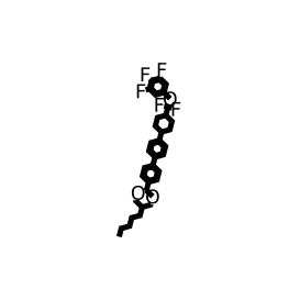 CCCCCC1COC(c2ccc(-c3ccc(C4CCC(C(F)(F)Oc5cc(F)c(F)c(F)c5)CC4)cc3)cc2)OC1